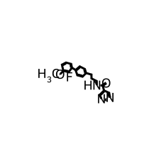 COc1cccc(-c2ccc(CCCNC(=O)c3cncnc3)cc2)c1F